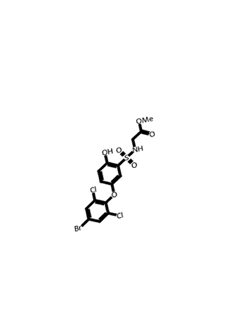 COC(=O)CNS(=O)(=O)c1cc(Oc2c(Cl)cc(Br)cc2Cl)ccc1O